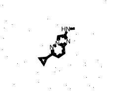 CNc1cn2nc(C3CC3)ccc2n1